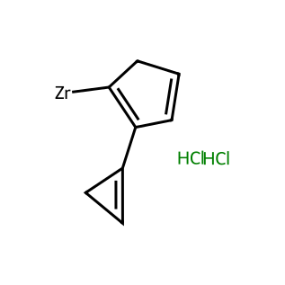 Cl.Cl.[Zr][C]1=C(C2=CC2)C=CC1